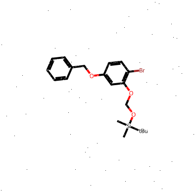 CC(C)(C)[Si](C)(C)OCOc1cc(OCc2ccccc2)ccc1Br